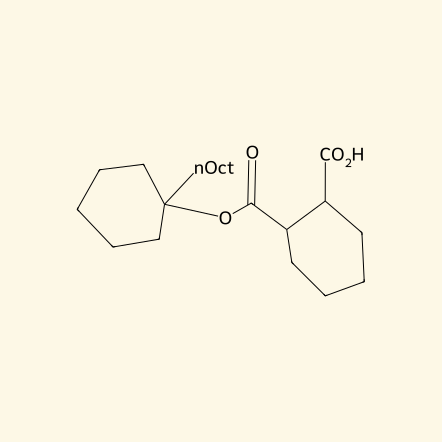 CCCCCCCCC1(OC(=O)C2CCCCC2C(=O)O)CCCCC1